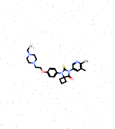 Cc1cc(N2C(=O)C3(CCC3)N(c3ccc(OCCN4CCN(CC(F)(F)F)CC4)cc3)C2=S)cnc1C#N